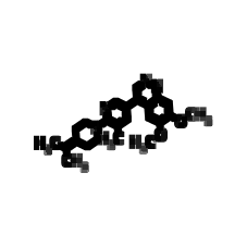 COc1cc2nncc(-c3cnc(N4CCC(=C(C)C)CC4)c(C)c3)c2cc1OC